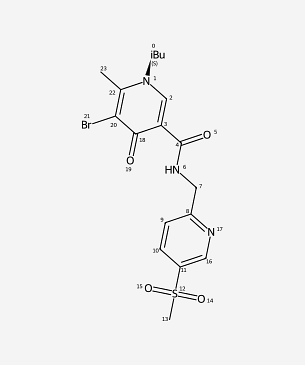 CC[C@H](C)n1cc(C(=O)NCc2ccc(S(C)(=O)=O)cn2)c(=O)c(Br)c1C